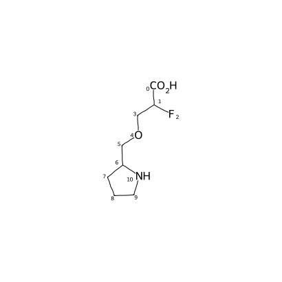 O=C(O)C(F)COCC1CCCN1